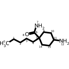 CCCCCC1(C(N)=O)CCC(N)CC1